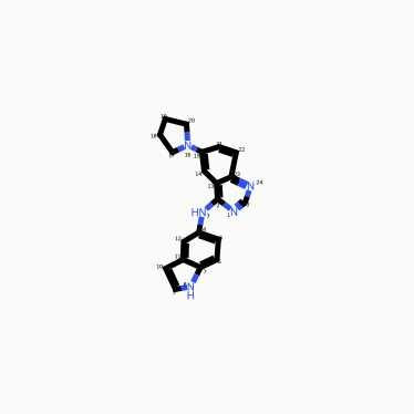 c1nc(Nc2ccc3[nH]ccc3c2)c2cc(N3CCCC3)ccc2n1